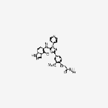 COc1cc(-c2nc(NC3=C(Cl)C4C=NNC4C=C3)n(-c3ccncc3)n2)ccc1OCC(=O)NC(C)C